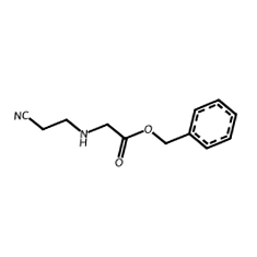 N#CCCNCC(=O)OCc1ccccc1